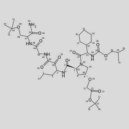 CCCC(NC(=O)[C@@H]1C[C@@H](OCC(=O)OC(C)(C)C)CN1C(=O)C(NC(=O)OCC(C)C)C1CCCCC1)C(=O)C(=O)NCC(=O)NC(COC(C)(C)C)C(N)=O